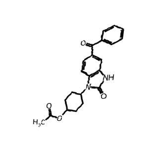 CC(=O)OC1CCC(n2c(=O)[nH]c3cc(C(=O)c4ccccc4)ccc32)CC1